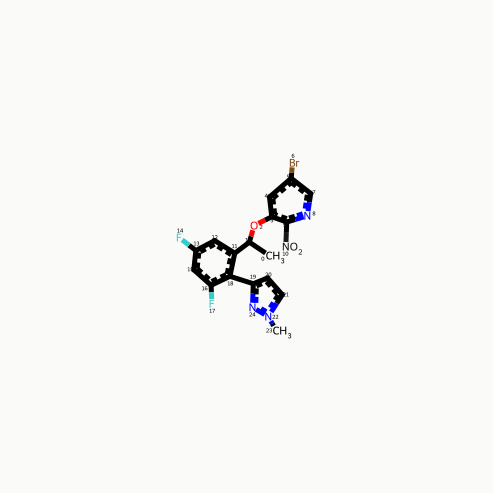 CC(Oc1cc(Br)cnc1[N+](=O)[O-])c1cc(F)cc(F)c1-c1ccn(C)n1